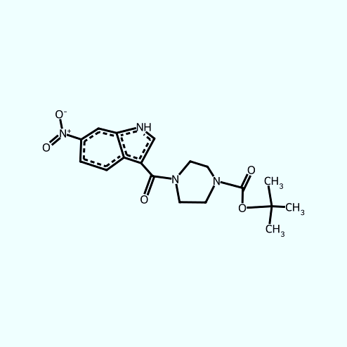 CC(C)(C)OC(=O)N1CCN(C(=O)c2c[nH]c3cc([N+](=O)[O-])ccc23)CC1